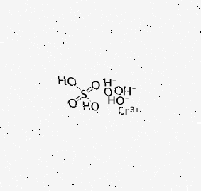 O=S(=O)(O)O.[Cr+3].[OH-].[OH-].[OH-]